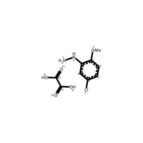 COc1ccc(Cl)cc1NN.O=C(O)C(=O)O